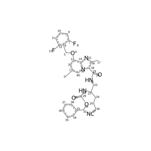 Cc1cc(OCc2c(F)cccc2F)c2nc(C)c(C(=O)NCC(CCCC#N)NC(=O)OCc3ccccc3)n2c1